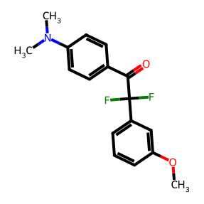 COc1cccc(C(F)(F)C(=O)c2ccc(N(C)C)cc2)c1